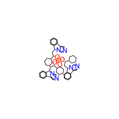 O=P(OC(CC1c2ccccc2-c2cncn21)C1CCCCC1)(OC(CC1c2ccccc2-c2cncn21)C1CCCCC1)OC(CC1c2ccccc2-c2cncn21)C1CCCCC1